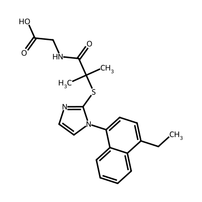 CCc1ccc(-n2ccnc2SC(C)(C)C(=O)NCC(=O)O)c2ccccc12